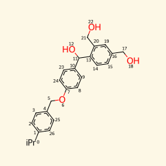 CC(C)c1ccc(COc2ccc(C(O)c3ccc(CO)cc3CO)cc2)cc1